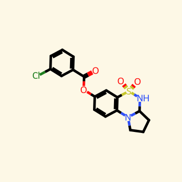 O=C(Oc1ccc2c(c1)S(=O)(=O)NC1CCCN21)c1cccc(Cl)c1